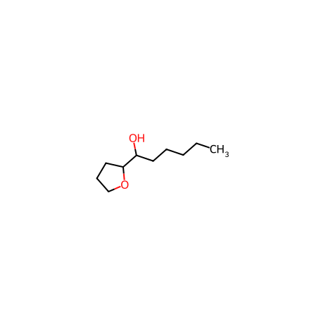 CCCCCC(O)C1CCCO1